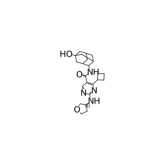 O=C(NC1C2CC3CC1CC(O)(C3)C2)c1cnc(N[C@H]2CCOC2)nc1C1CCC1